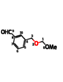 COCOCc1cccc(C=O)c1